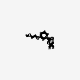 COCCO[C@@H]1CCCN(C(=O)OC(C)(C)C)C1